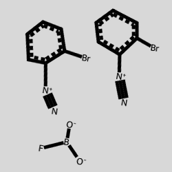 N#[N+]c1ccccc1Br.N#[N+]c1ccccc1Br.[O-]B([O-])F